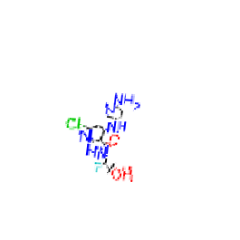 CC(C)(O)[C@H](F)CNC(=O)c1cnc(Cl)cc1Nc1ccc(N)nc1